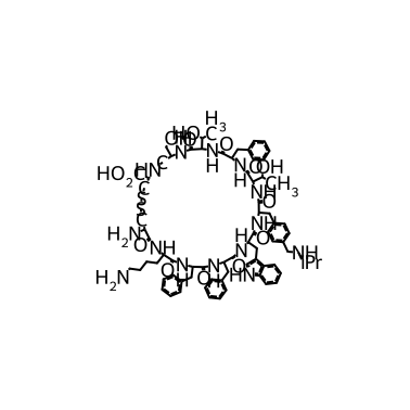 CC(C)NCc1ccc(CC2NC(=O)C(Cc3c[nH]c4ccccc34)NC(=O)C(Cc3ccccc3)NC(=O)C(Cc3ccccc3)NC(=O)C(CCCCN)NC(=O)C(N)CSSCC(C(=O)O)NCC(CO)NC(=O)C(C(C)O)NC(=O)C(Cc3ccccc3)NC(=O)C(C(C)O)NC2=O)cc1